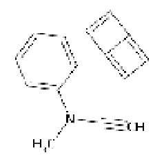 C#CN(C)c1ccccc1.c1cc2ccc1-2